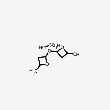 CC1CC(OC2CC(C)O2)O1.O=S(=O)(O)O